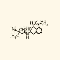 C=C(C)c1cccc2c1CBC(NC(=O)CC(C)(C)C#N)C2